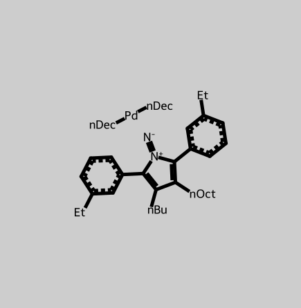 CCCCCCCCC1=C(c2cccc(CC)c2)[N+](=[N-])C(c2cccc(CC)c2)=C1CCCC.CCCCCCCCC[CH2][Pd][CH2]CCCCCCCCC